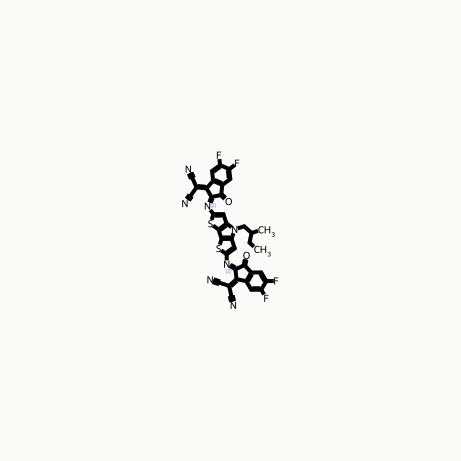 CCC(C)Cn1c2cc(/N=C3\C(=O)c4cc(F)c(F)cc4C3=C(C#N)C#N)sc2c2sc(/N=C3\C(=O)c4cc(F)c(F)cc4C3=C(C#N)C#N)cc21